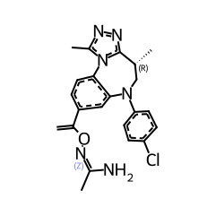 C=C(O/N=C(/C)N)c1ccc2c(c1)N(c1ccc(Cl)cc1)C[C@@H](C)c1nnc(C)n1-2